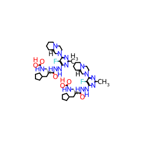 Cc1nc(NNC(=O)[C@@H](CNC(=O)O)CC2CCCC2)c(F)c(N2CCN3CCCC[C@@H]3C2)n1.Cc1nc(NNC(=O)[C@@H](CNC(=O)O)CC2CCCC2)c(F)c(N2CCN3CCCC[C@@H]3C2)n1